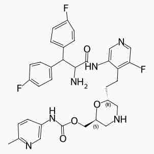 Cc1ccc(NC(=O)OC[C@@H]2CNC[C@@H](CCc3c(F)cncc3NC(=O)C(N)C(c3ccc(F)cc3)c3ccc(F)cc3)O2)cn1